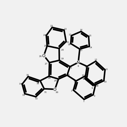 c1ccc(-c2c(N(c3ccccc3)c3ccccc3)c3c4ccccc4oc3c3c2oc2ccccc23)cc1